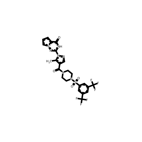 Cc1c(C(=O)N2CCN(S(=O)(=O)c3cc(C(F)(F)F)cc(C(F)(F)F)c3)CC2)cnn1-c1nn2cccc2c(=O)[nH]1